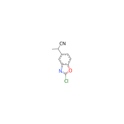 CC(C#N)c1ccc2oc(Cl)nc2c1